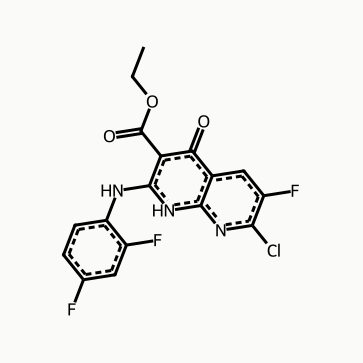 CCOC(=O)c1c(Nc2ccc(F)cc2F)[nH]c2nc(Cl)c(F)cc2c1=O